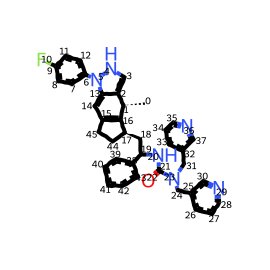 C[C@H]1C2=CNN(c3ccc(F)cc3)C2=CC2=C1[C@@H](CC(NC(=O)N(Cc1cccnc1)Cc1cccnc1)c1ccccc1)CC2